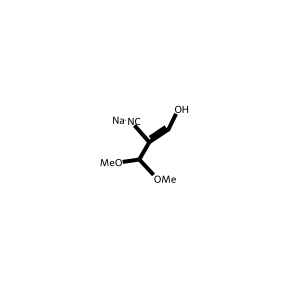 COC(OC)/C(C#N)=C/O.[Na]